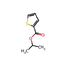 CC(C)OC(=O)c1c[c]cs1